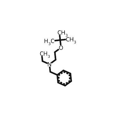 CCN(CCOC(C)(C)C)Cc1ccccc1